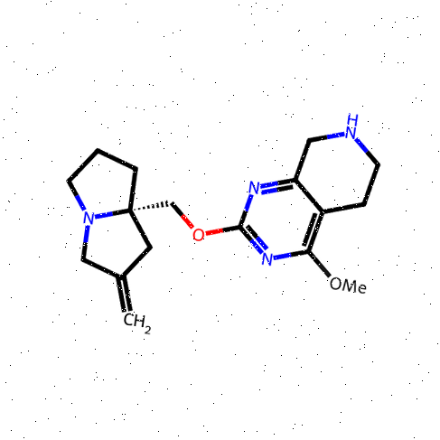 C=C1CN2CCC[C@@]2(COc2nc3c(c(OC)n2)CCNC3)C1